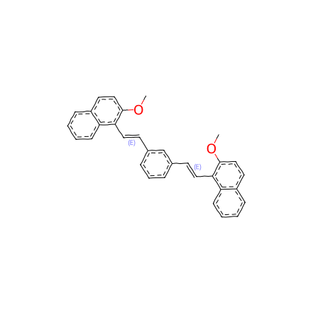 COc1ccc2ccccc2c1/C=C/c1cccc(/C=C/c2c(OC)ccc3ccccc23)c1